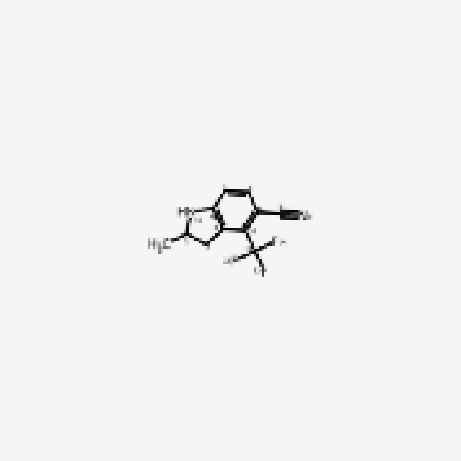 CC1Cc2c(ccc(C#N)c2C(F)(F)F)N1